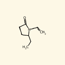 C=CN1C(=O)CCC1CC